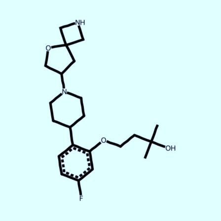 CC(C)(O)CCOc1cc(F)ccc1C1CCN(C2COC3(CNC3)C2)CC1